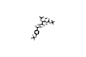 CC[C@H](NC(=O)OC(C)(C)C)C(OC(C)=O)C(=O)NNC(=O)c1ccc(OC(F)(F)F)cc1